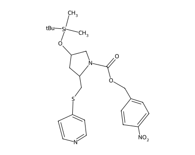 CC(C)(C)[Si](C)(C)OC1CC(CSc2ccncc2)N(C(=O)OCc2ccc([N+](=O)[O-])cc2)C1